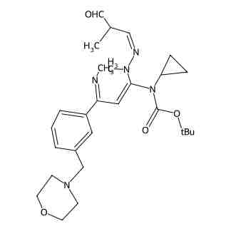 C/N=C(\C=C(/N(C)/N=C\C(C)C=O)N(C(=O)OC(C)(C)C)C1CC1)c1cccc(CN2CCOCC2)c1